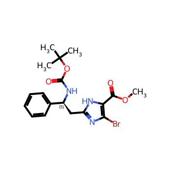 COC(=O)c1[nH]c(C[C@H](NC(=O)OC(C)(C)C)c2ccccc2)nc1Br